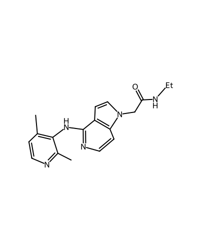 CCNC(=O)Cn1ccc2c(Nc3c(C)ccnc3C)nccc21